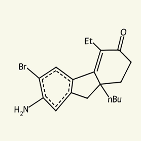 CCCCC12CCC(=O)C(CC)=C1c1cc(Br)c(N)cc1C2